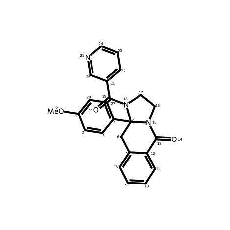 COc1ccc(C23Cc4ccccc4C(=O)N2CCN3C(=O)c2cccnc2)cc1